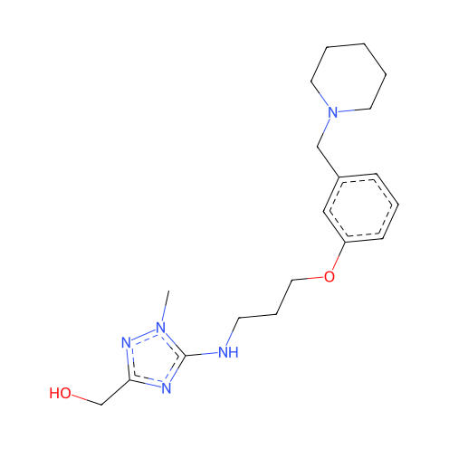 Cn1nc(CO)nc1NCCCOc1cccc(CN2CCCCC2)c1